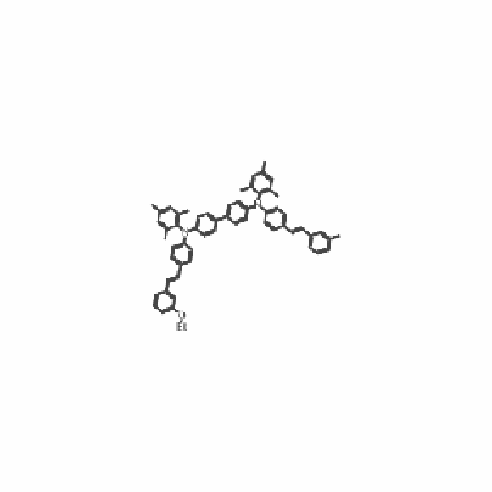 CCOc1cccc(/C=C/c2ccc(N(c3ccc(-c4ccc(N(c5ccc(/C=C/c6cccc(C)c6)cc5)c5c(C)cc(C)cc5C)cc4)cc3)c3c(C)cc(C)cc3C)cc2)c1